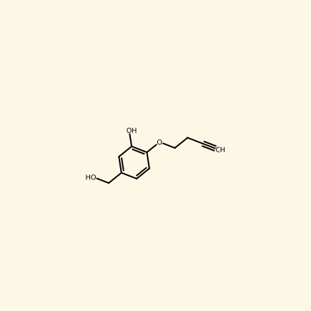 C#CCCOc1ccc(CO)cc1O